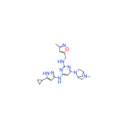 Cc1cc(CNc2nc(Nc3cc(C4CC4)[nH]n3)cc(N3CC4CC3CN4C)n2)on1